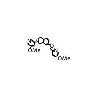 COc1ccc(COc2ccc3c(c2)CN(c2cncc(OC)c2)CC3)nc1